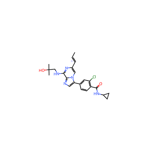 C/C=C/c1cn2c(-c3ccc(C(=O)NC4CC4)c(Cl)c3)cnc2c(NCC(C)(C)O)n1